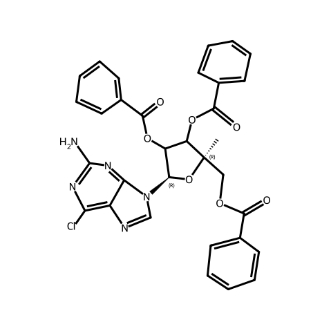 C[C@]1(COC(=O)c2ccccc2)O[C@@H](n2cnc3c(Cl)nc(N)nc32)C(OC(=O)c2ccccc2)C1OC(=O)c1ccccc1